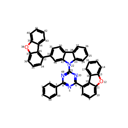 c1ccc(-c2nc(-c3cccc4oc5ccccc5c34)nc(-n3c4ccccc4c4ccc(-c5cccc6oc7ccccc7c56)cc43)n2)cc1